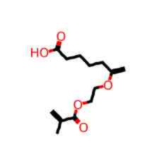 C=C(CCCCC(=O)O)OCCOC(=O)C(=C)C